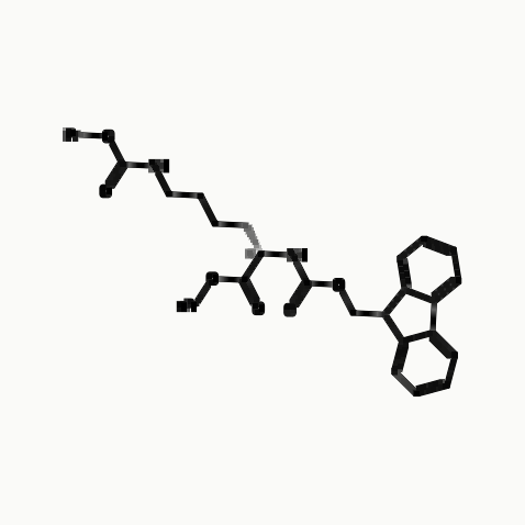 CCCOC(=O)[C@H](CCCCNC(=O)OC(C)C)NC(=O)OCC1c2ccccc2-c2ccccc21